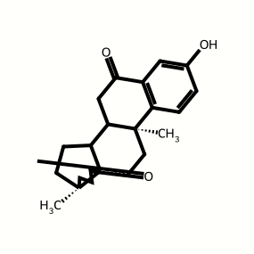 C[C@]12CCC(=O)[C@]13CC[C@]1(C)c4ccc(O)cc4C(=O)CC1C3CC2